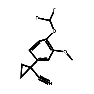 COc1cc(C2(C#N)CC2)ccc1OC(F)F